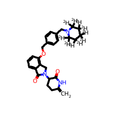 [2H]C1([2H])N(Cc2ccc(COc3cccc4c3CN(C3CCC(=C)NC3=O)C4=O)cc2)C([2H])([2H])C([2H])([2H])C([2H])([2H])C1([2H])[2H]